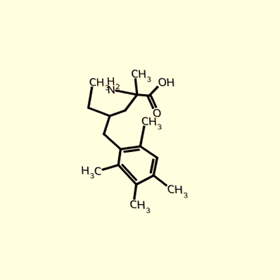 CCC(Cc1c(C)cc(C)c(C)c1C)CC(C)(N)C(=O)O